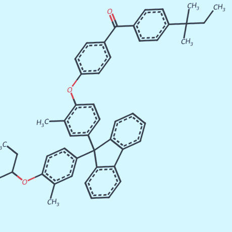 CCC(C)Oc1ccc(C2(c3ccc(Oc4ccc(C(=O)c5ccc(C(C)(C)CC)cc5)cc4)c(C)c3)c3ccccc3-c3ccccc32)cc1C